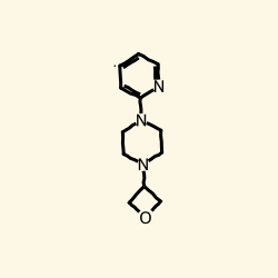 [c]1ccnc(N2CCN(C3COC3)CC2)c1